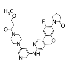 COCCC(=O)N1CCN(c2cncc(Nc3cc4c(cn3)-c3cc(F)c(N5CCCC5=O)cc3OC4)c2)CC1